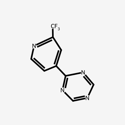 FC(F)(F)c1cc(-c2ncncn2)ccn1